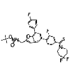 CC(C)(C)OC(=O)NCc1cc2cc(-c3ccc(C(=S)N4CCC(F)(F)CC4)cc3F)cc(-c3ccc(F)cc3)c2o1